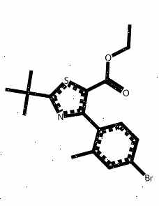 CCOC(=O)c1sc(C(C)(C)C)nc1-c1ccc(Br)cc1C